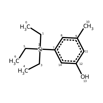 CC[Si](CC)(CC)c1cc(C)cc(O)c1